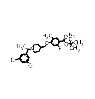 Cc1cc(C(=O)OC(C)(C)C)c(F)cc1OCC1CCN([C@@H](C)c2cc(Cl)cc(Cl)c2)CC1